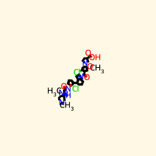 COc1cc(C(=O)n2ccc3c(-c4cccc(NC(=O)c5nc6c(n5C)CCN(C)C6)c4Cl)cccc32)c(Cl)cc1N1CCC(C(=O)O)C1